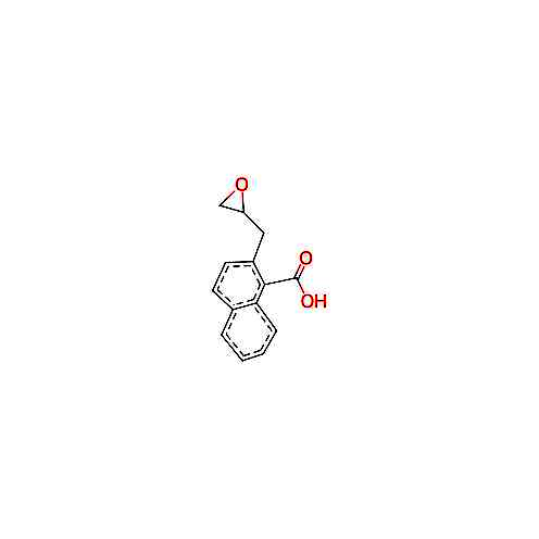 O=C(O)c1c(CC2CO2)ccc2ccccc12